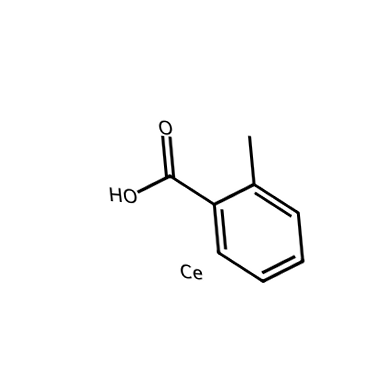 Cc1ccccc1C(=O)O.[Ce]